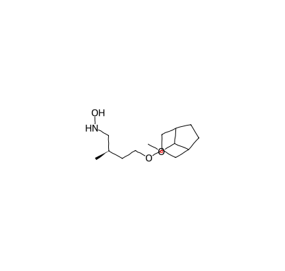 COC1C2CCC1CC(OCC[C@@H](C)CNO)C2